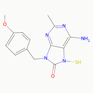 COc1ccc(Cn2c(=O)n(S)c3c(N)nc(C)nc32)cc1